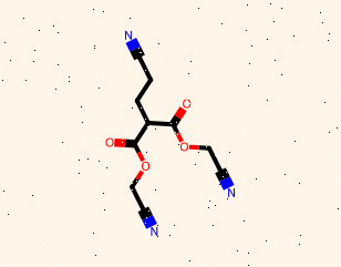 N#CCCC(C(=O)OCC#N)C(=O)OCC#N